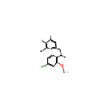 Cc1c(F)cc(CC(C)c2ccc(Cl)cc2OC(F)(F)F)cc1C(C)C